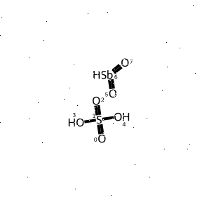 O=S(=O)(O)O.[O]=[SbH]=[O]